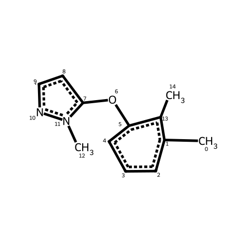 Cc1cccc(Oc2c[c]nn2C)c1C